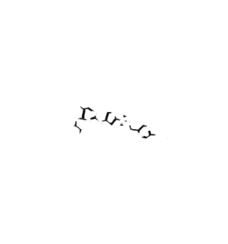 Cc1cnc(CNS(=O)(=O)c2cc(Nc3ncc(Br)c(N[C@H](C)CO)n3)cs2)cn1